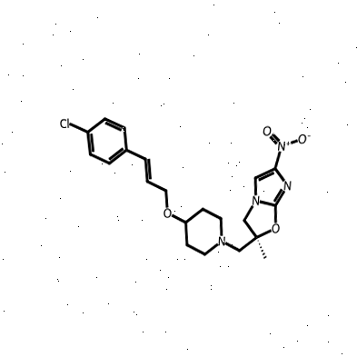 C[C@]1(CN2CCC(OCC=Cc3ccc(Cl)cc3)CC2)Cn2cc([N+](=O)[O-])nc2O1